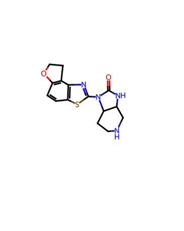 O=C1NC2CNCCC2N1c1nc2c3c(ccc2s1)OCC3